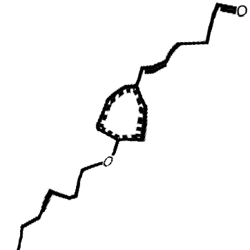 CCCCCCOc1ccc(C=CCCC=O)cc1